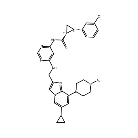 CC(=O)N1CCN(c2cc(C3CC3)cn3cc(CNc4cc(NC(=O)[C@H]5C[C@@H]5c5cccc(Cl)c5)ncn4)nc23)CC1